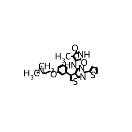 CC1=C(Nc2nc(-c3cccs3)nc3scc(-c4cccc(OCCN(C)C)c4)c23)C(=O)NC1=O